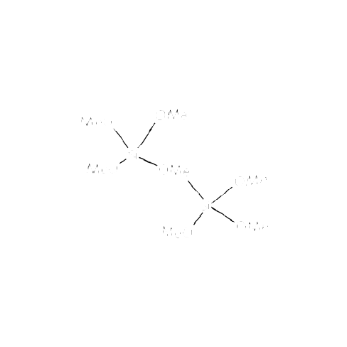 CO[Si](C)(OC)OC.CO[Si](OC)(OC)OC